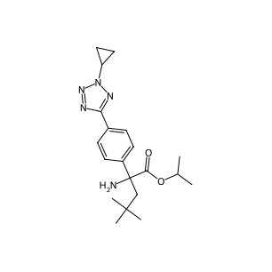 CC(C)OC(=O)C(N)(CC(C)(C)C)c1ccc(-c2nnn(C3CC3)n2)cc1